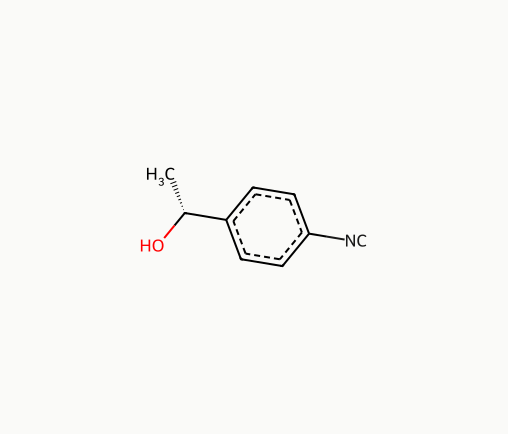 [C-]#[N+]c1ccc([C@@H](C)O)cc1